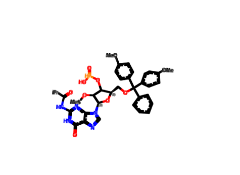 COc1ccc(C(OC[C@H]2O[C@@H](n3cnc4c(=O)[nH]c(NC(=O)C(C)C)nc43)C(OSC)C2O[PH](=O)O)(c2ccccc2)c2ccc(OC)cc2)cc1